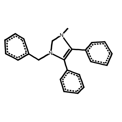 CN1CN(Cc2ccccc2)C(c2ccccc2)=C1c1ccccc1